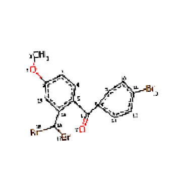 COc1ccc(C(=O)c2ccc(Br)cc2)c(C(Br)Br)c1